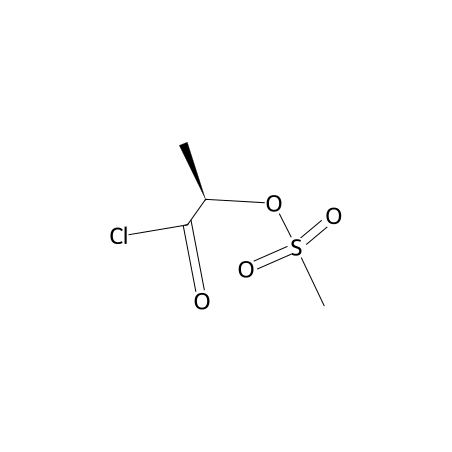 C[C@@H](OS(C)(=O)=O)C(=O)Cl